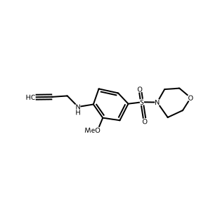 C#CCNc1ccc(S(=O)(=O)N2CCOCC2)cc1OC